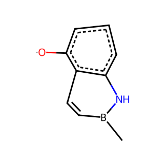 CB1C=Cc2c([O])cccc2N1